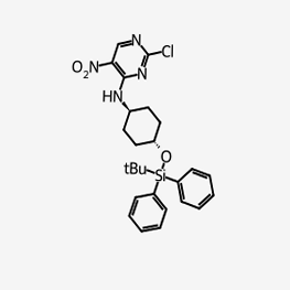 CC(C)(C)[Si](O[C@H]1CC[C@H](Nc2nc(Cl)ncc2[N+](=O)[O-])CC1)(c1ccccc1)c1ccccc1